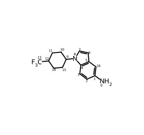 Nc1ccc2c(ccn2C2CCC(C(F)(F)F)CC2)c1